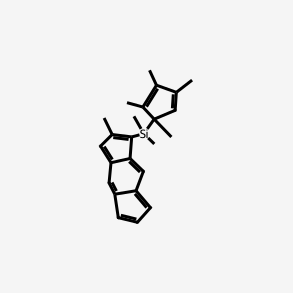 CC1=CC(C)([Si](C)(C)C2=C(C)C=c3cc4c(cc32)=CC=C4)C(C)=C1C